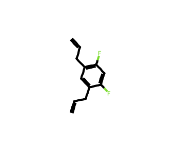 C=CCc1cc(CC=C)c(F)cc1F